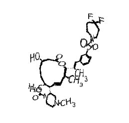 C/C(=C\c1cccc(S(=O)(=O)N2CCC(F)(F)CC2)c1)[C@H]1OC(=O)C[C@H](O)CC[C@H](C)[C@@H](C2CN(C)CCN2C(=O)O)/C=C/[C@@H]1C